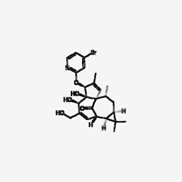 CC1=C[C@]23C(=O)[C@@H](C=C(CO)[C@@H](O)[C@]2(O)[C@H]1Oc1cc(Br)ccn1)[C@H]1[C@@H](C[C@H]3C)C1(C)C